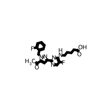 CC(=O)c1cc(-c2ncc(F)c(NCCCCC(=O)O)n2)nn1Cc1ccccc1F